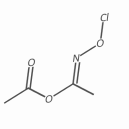 CC(=O)OC(C)=NOCl